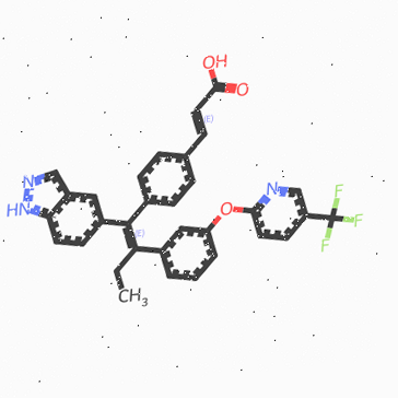 CC/C(=C(/c1ccc(/C=C/C(=O)O)cc1)c1ccc2[nH]ncc2c1)c1cccc(Oc2ccc(C(F)(F)F)cn2)c1